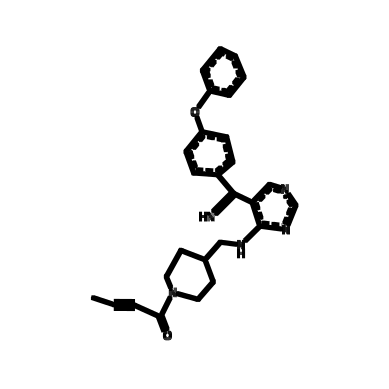 CC#CC(=O)N1CCC(CNc2ncncc2C(=N)c2ccc(Oc3ccccc3)cc2)CC1